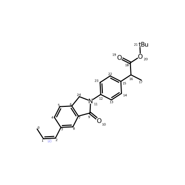 C/C=C\c1ccc2c(c1)C(=O)N(c1ccc(C(C)C(=O)OC(C)(C)C)cc1)C2